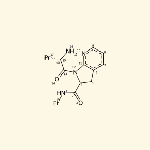 CCNC(=O)C1Cc2cccnc2N1C(=O)[C@@H](N)C(C)C